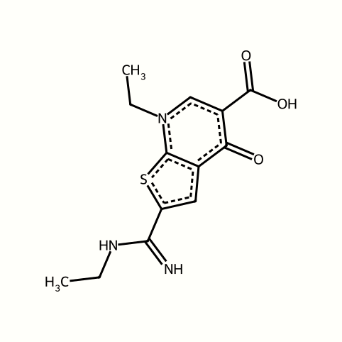 CCNC(=N)c1cc2c(=O)c(C(=O)O)cn(CC)c2s1